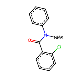 CNN(C(=O)c1ccccc1Cl)c1ccccc1